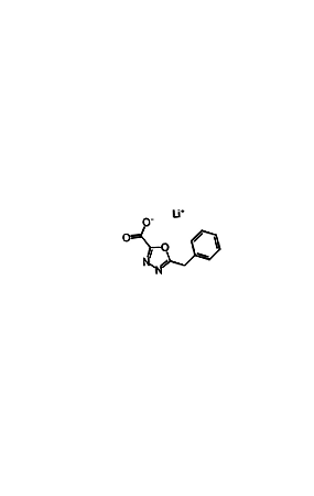 O=C([O-])c1nnc(Cc2ccccc2)o1.[Li+]